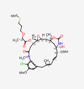 COc1cc2cc(c1Cl)N(C)C(=O)C[C@H](OC(=O)[C@H](C)OCCCSSC)[C@]1(C)O[C@H]1[C@H](C)[C@@H]1C[C@@](O)(NC(=O)O1)[C@H](OC)/C=C/C=C(\C)C2